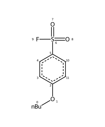 CCCCOc1ccc(S(=O)(=O)F)cc1